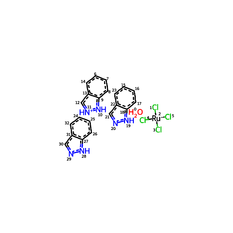 O.[Cl][Ru-]([Cl])([Cl])[Cl].c1ccc2[nH][nH+]cc2c1.c1ccc2[nH]ncc2c1.c1ccc2[nH]ncc2c1